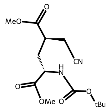 COC(=O)[C@@H](CC#N)C[C@H](NC(=O)OC(C)(C)C)C(=O)OC